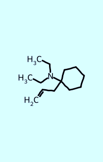 C=CCC1(N(CC)CC)CCCCC1